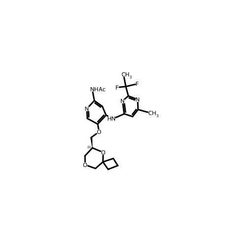 CC(=O)Nc1cc(Nc2cc(C)nc(C(C)(F)F)n2)c(OC[C@@H]2COCC3(CCC3)O2)cn1